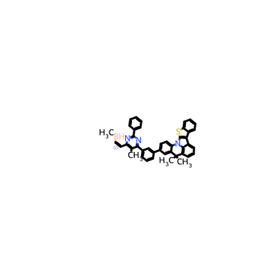 CB/C=C\c1nc(-c2ccccc2)nc(-c2cccc(-c3ccc4c(c3)C(C)(C)c3cccc5c6c7ccccc7sc6n-4c35)c2)c1C